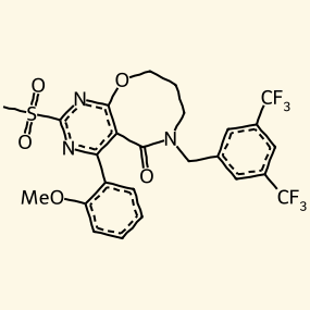 COc1ccccc1-c1nc(S(C)(=O)=O)nc2c1C(=O)N(Cc1cc(C(F)(F)F)cc(C(F)(F)F)c1)CCCO2